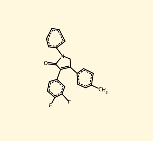 Cc1ccc(C2=C(c3ccc(F)c(F)c3)C(=O)N(c3ccccc3)C2)cc1